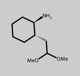 COC(C[C@@H]1CCCC[C@H]1N)OC